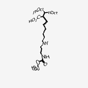 CCCCCCCCC(CCCCCCCC)C(CCCCCCNCCCNC(=O)OC(C)(C)C)C(=O)O